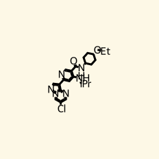 CCOC1CCC(NC(=O)c2cnc(-c3cnn4cc(Cl)cnc34)cc2NC(C)C)CC1